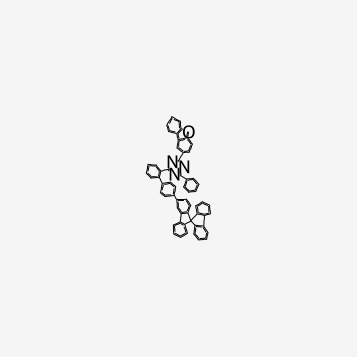 c1ccc(-c2nc(-c3ccc4oc5ccccc5c4c3)nc(-c3ccccc3-c3ccc(-c4ccc5c(c4)-c4ccccc4C54c5ccccc5-c5ccccc54)cc3)n2)cc1